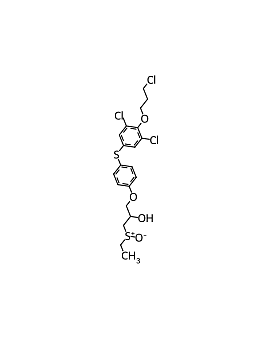 CC[S+]([O-])CC(O)COc1ccc(Sc2cc(Cl)c(OCCCCl)c(Cl)c2)cc1